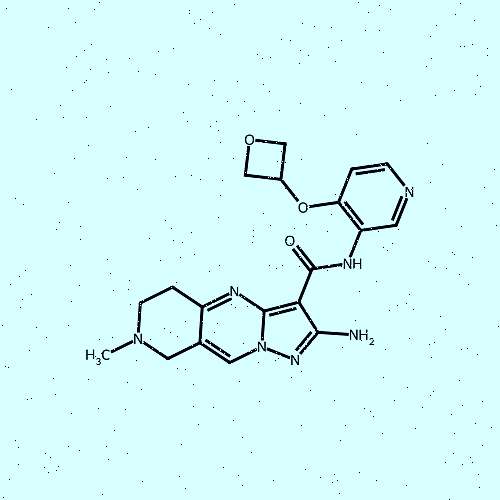 CN1CCc2nc3c(C(=O)Nc4cnccc4OC4COC4)c(N)nn3cc2C1